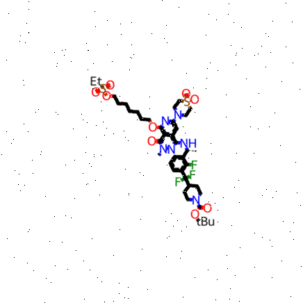 CCS(=O)(=O)OCCCCCCCOc1nc(N2CCS(=O)(=O)CC2)cc2c(N[C@H](C)c3cccc(C(F)(F)C4CCN(C(=O)OC(C)(C)C)CC4)c3F)nn(C)c(=O)c12